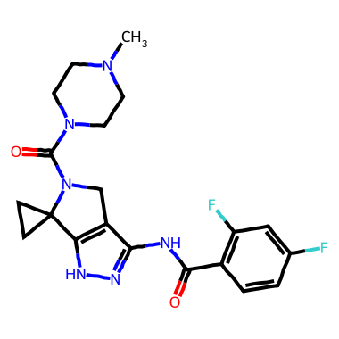 CN1CCN(C(=O)N2Cc3c(NC(=O)c4ccc(F)cc4F)n[nH]c3C23CC3)CC1